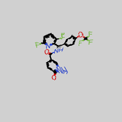 O=C(N[C@@H](c1ccc(OC(F)(F)F)cc1)c1nc(F)ccc1F)c1ccc(=O)[nH]c1